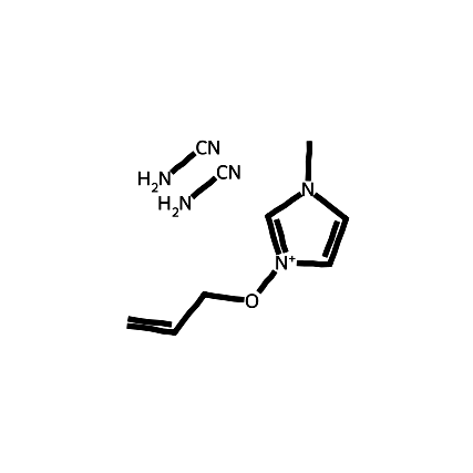 C=CCO[n+]1ccn(C)c1.N#CN.N#CN